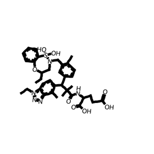 CCC1CN(Cc2cc(C(c3ccc4c(nnn4CC)c3C)C(C)(C)C(=O)NC(CCC(=O)O)C(=O)O)ccc2C)S(O)(O)c2ccccc2O1